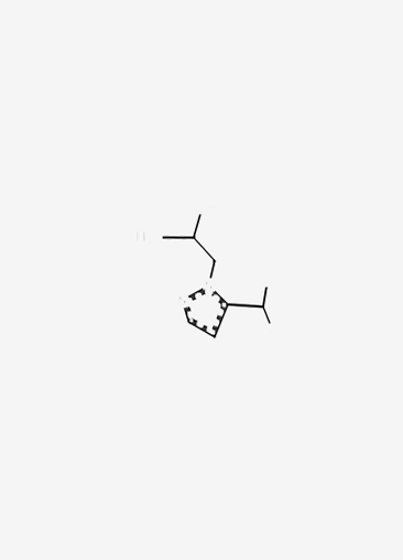 CC(C)Cn1nccc1C(C)C